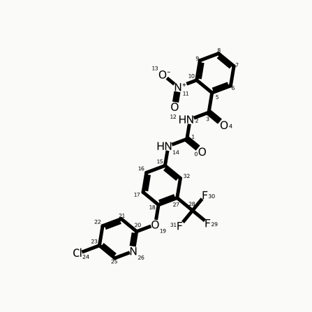 O=C(NC(=O)c1ccccc1[N+](=O)[O-])Nc1ccc(Oc2ccc(Cl)cn2)c(C(F)(F)F)c1